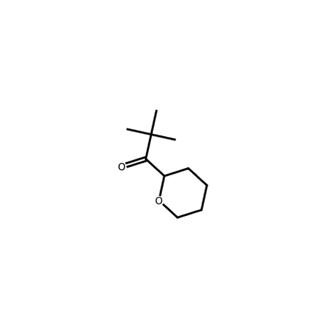 CC(C)(C)C(=O)C1CCCCO1